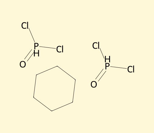 C1CCCCC1.O=[PH](Cl)Cl.O=[PH](Cl)Cl